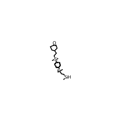 C[SiH](C)CC[Si](C)(C)c1ccc([Si](C)(C)CCC2CCC3OC3C2)cc1